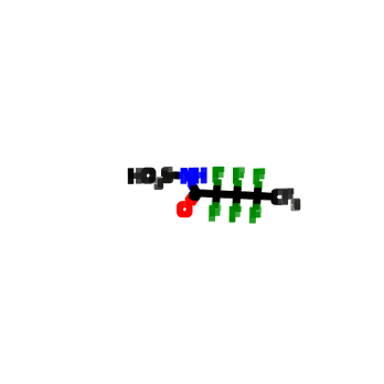 O=C(NS(=O)(=O)O)C(F)(F)C(F)(F)C(F)(F)C(F)(F)F